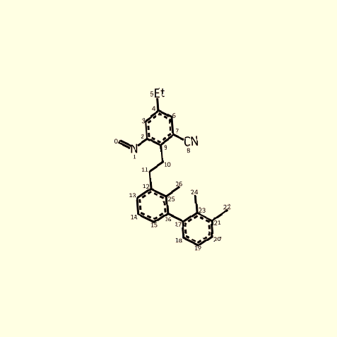 C=Nc1cc(CC)cc(C#N)c1CCc1cccc(-c2cccc(C)c2C)c1C